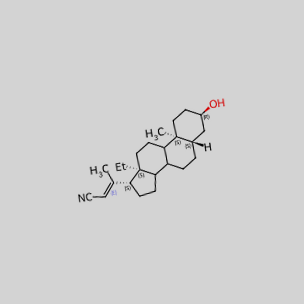 CC[C@]12CCC3C(CC[C@H]4C[C@H](O)CC[C@]34C)C1CC[C@@H]2/C(C)=C/C#N